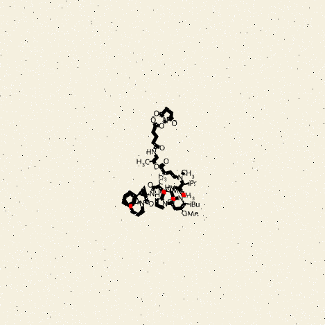 CC[C@H](C)[C@@H]([C@@H](CC(=O)N1CCC[C@H]1[C@H](OC)[C@@H](C)C(=O)N[C@@]1(C(=O)N2CCCCO2)C[C@@H]1c1ccccc1)OC)N(C)C(=O)[C@@H](NC(=O)[C@H](C(C)C)N(C)CCCC(=O)O[C@@H](C)CNC(=O)CCCC(=O)ON1C(=O)CCC1=O)C(C)C